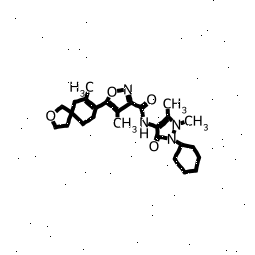 CC1=C(c2onc(C(=O)Nc3c(C)n(C)n(C4CCCCC4)c3=O)c2C)CCC2(CCOC2)C1